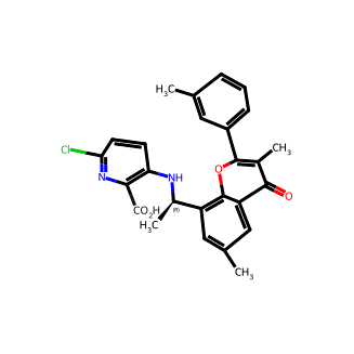 Cc1cccc(-c2oc3c([C@@H](C)Nc4ccc(Cl)nc4C(=O)O)cc(C)cc3c(=O)c2C)c1